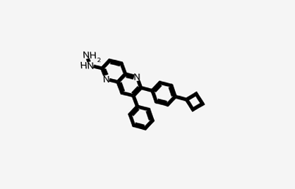 NNc1ccc2nc(-c3ccc(C4CCC4)cc3)c(-c3ccccc3)cc2n1